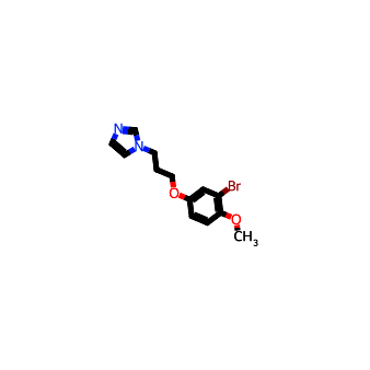 COc1ccc(OCCCn2ccnc2)cc1Br